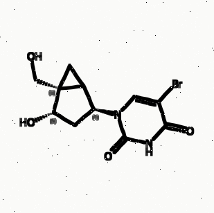 O=c1[nH]c(=O)n([C@H]2C[C@H](O)[C@@]3(CO)CC23)cc1Br